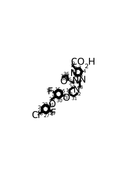 O=C(O)Cc1ccc2nc(CN3CCC(Oc4ccc(F)c(COc5ccc(Cl)cc5F)c4)CC3)n(C[C@@H]3CCO3)c2n1